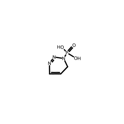 O=P(O)(O)N1CC=CN=N1